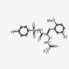 COc1ccc(Cl)cc1/C=C(\CNC(=O)C(F)(F)F)C(=O)NS(=O)(=O)c1ccc(Cl)cc1